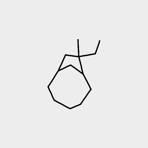 CCC1(C)CC2CCCCCC1C2